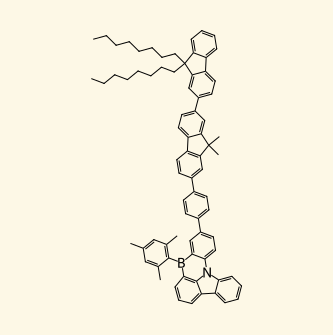 CCCCCCCCC1(CCCCCCCC)c2ccccc2-c2ccc(-c3ccc4c(c3)C(C)(C)c3cc(-c5ccc(-c6ccc7c(c6)B(c6c(C)cc(C)cc6C)c6cccc8c9ccccc9n-7c68)cc5)ccc3-4)cc21